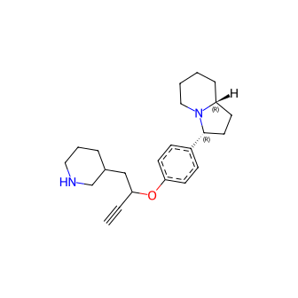 C#CC(CC1CCCNC1)Oc1ccc([C@H]2CC[C@H]3CCCCN32)cc1